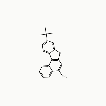 Bc1cc2oc3c[n+](C(C)(C)C)ccc3c2c2ccccc12